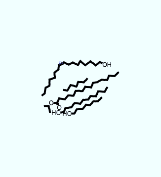 CCCCCCC.CCCCCCCC/C=C\CCCCCCCCO.CCCCCCCCCCCCCCCC(=O)OC(C)C.CCCCCCCCCCCCO.CCCCCCCCO